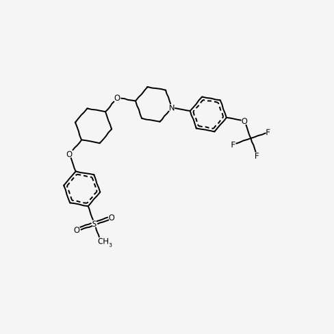 CS(=O)(=O)c1ccc(OC2CCC(OC3CCN(c4ccc(OC(F)(F)F)cc4)CC3)CC2)cc1